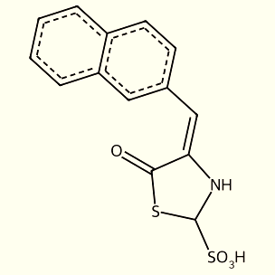 O=C1SC(S(=O)(=O)O)NC1=Cc1ccc2ccccc2c1